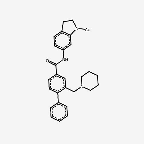 CC(=O)N1CCc2ccc(NC(=O)c3ccc(-c4ccccc4)c(CN4CCCCC4)c3)cc21